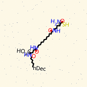 CCCCCCCCCCCCCCCC(=O)NC(CCC(=O)NCCCCCCCCCCCC(=O)NCCCC[C@H](N)C(=O)S)C(=O)O